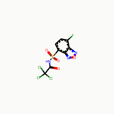 O=C(NS(=O)(=O)c1ccc(F)c2nonc12)C(Cl)(Cl)Cl